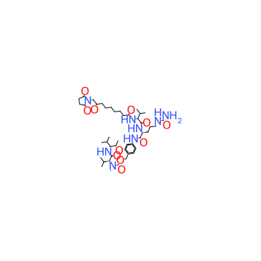 CC(=O)[C@@H](NC(=O)[C@H](C(C)C)N(C)C(=O)OCc1ccc(NC(=O)[C@H](CCCNC(N)=O)NC(=O)[C@@H](NC(=O)CCCCCCC(=O)CN2C(=O)CCC2=O)C(C)C)cc1)C(C)C